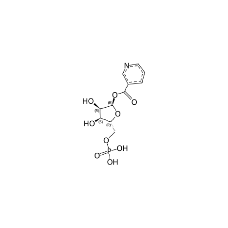 O=C(O[C@H]1O[C@H](COP(=O)(O)O)[C@@H](O)[C@H]1O)c1cccnc1